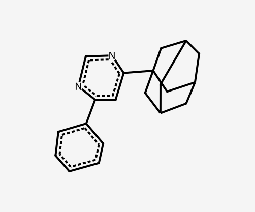 c1ccc(-c2cc(C34CC5CC(CC(C5)C3)C4)ncn2)cc1